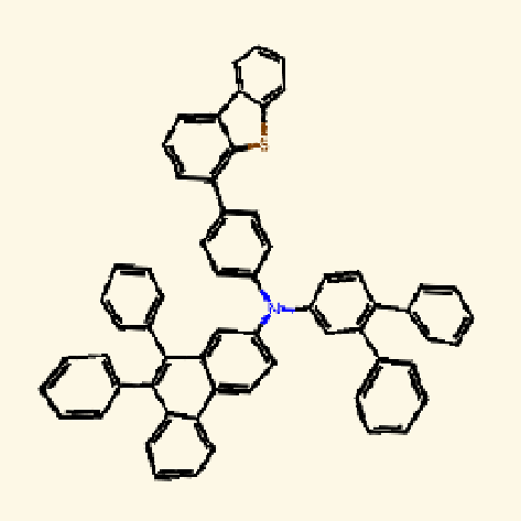 c1ccc(-c2ccc(N(c3ccc(-c4cccc5c4sc4ccccc45)cc3)c3ccc4c(c3)c(-c3ccccc3)c(-c3ccccc3)c3ccccc34)cc2-c2ccccc2)cc1